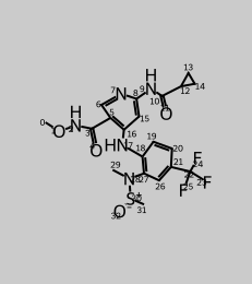 CONC(=O)c1cnc(NC(=O)C2CC2)cc1Nc1ccc(C(F)(F)F)cc1N(C)[S+](C)[O-]